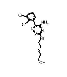 Nc1nc(NCCSCCO)nnc1-c1cccc(Cl)c1Cl